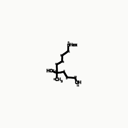 CCCCCCCCCCC(C)(O)CCCO